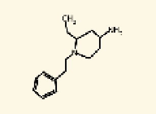 CCC1CC(N)CCN1CCc1ccccc1